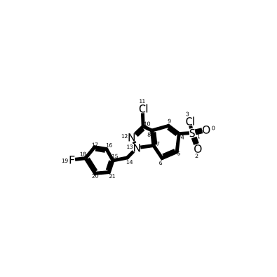 O=S(=O)(Cl)c1ccc2c(c1)c(Cl)nn2Cc1ccc(F)cc1